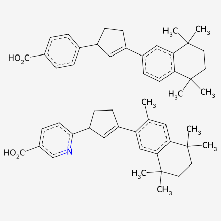 CC1(C)CCC(C)(C)c2cc(C3=CC(c4ccc(C(=O)O)cc4)CC3)ccc21.Cc1cc2c(cc1C1=CC(c3ccc(C(=O)O)cn3)CC1)C(C)(C)CCC2(C)C